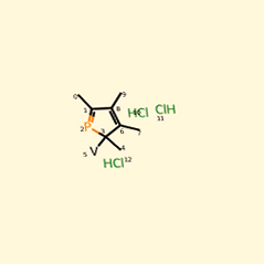 CC1=P[C](C)([V])C(C)=C1C.Cl.Cl.Cl